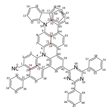 N#Cc1ccc(N(c2ccc(-n3c4ccccc4c4ccccc43)cc2)c2c(-c3ccc(-c4ccccc4)cc3)cc(-c3nc(-c4ccccc4)nc(-c4ccccc4)n3)cc2-c2ccc(-c3ccccc3)cc2)cc1